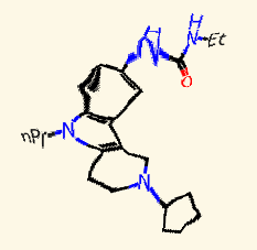 CCCn1c2c(c3cc(NC(=O)NCC)ccc31)CN(C1CCCC1)CC2